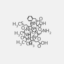 CSCC[C@H](NC(=O)[C@H](C)NC(=O)[C@@H](NC(=O)[C@H](CCC(=O)O)NC(=O)[C@@H](N)CC(N)=O)C(C)C)C(=O)N1CCC[C@H]1C(=O)N[C@@H](Cc1ccccc1)C(=O)O